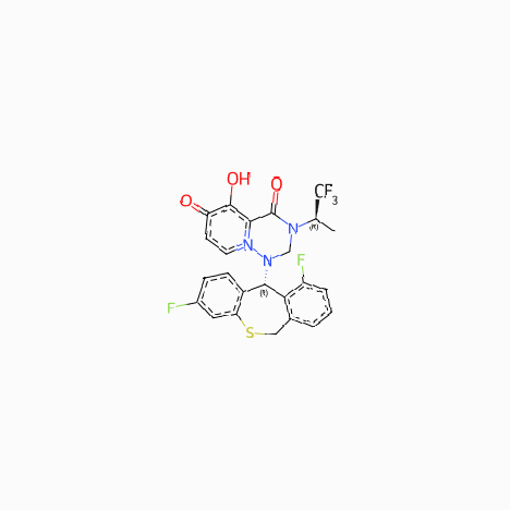 C[C@@H](N1CN([C@H]2c3ccc(F)cc3SCc3cccc(F)c32)n2ccc(=O)c(O)c2C1=O)C(F)(F)F